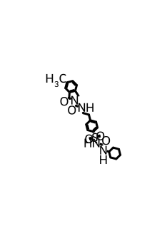 Cc1ccc2c(c1)C(=O)N(C(=O)NCCc1ccc(S(=O)(=O)NC(=O)NC3CCCCC3)cc1)C2